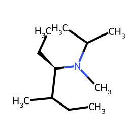 CCC(C)[C@@H](CC)N(C)C(C)C